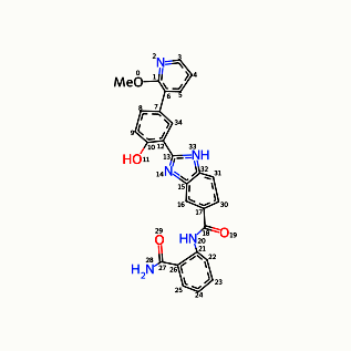 COc1ncccc1-c1ccc(O)c(-c2nc3cc(C(=O)Nc4ccccc4C(N)=O)ccc3[nH]2)c1